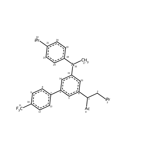 CC(=O)C(CC(C)C)c1cc(-c2ccc(C(F)(F)F)cc2)cc(N(C)c2ccc(C(C)C)cc2)c1